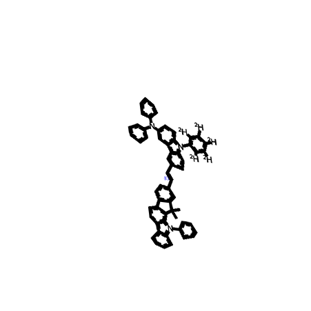 [2H]c1c([2H])c([2H])c(-n2c3ccc(/C=C/c4ccc5c(c4)C(C)(C)c4c-5ccc5c6ccccc6n(-c6ccccc6)c45)cc3c3cc(N(c4ccccc4)c4ccccc4)ccc32)c([2H])c1[2H]